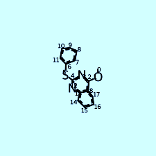 COc1nc(Sc2ccccc2)nc2ccccc12